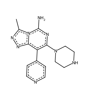 Cc1nnc2c(-c3ccncc3)c(N3CCNCC3)nc(N)n12